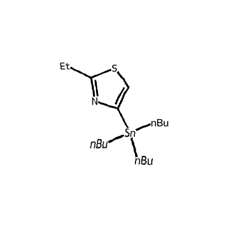 CCC[CH2][Sn]([CH2]CCC)([CH2]CCC)[c]1csc(CC)n1